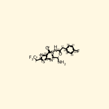 NCc1nc2sc(CC(F)(F)F)nc2c(=O)n1NC(=O)Cc1ccc(F)cc1